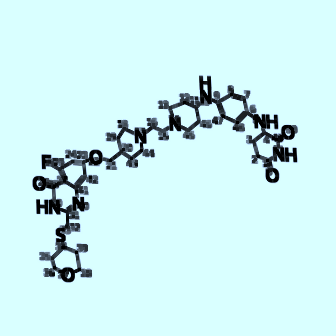 O=C1CCC(Nc2ccc(NC3CCN(CCN4CCC(COc5cc(F)c6c(=O)[nH]c(CSC7CCOCC7)nc6c5)CC4)CC3)cc2)C(=O)N1